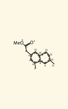 COC(=O)Cc1cc(C)c2cc(C)ccc2c1